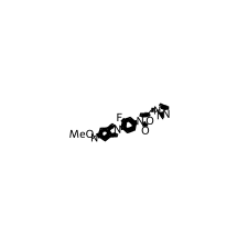 CON=C1C=C2CN(c3ccc(N4C[C@H](Cn5ccnn5)OC4=O)cc3F)CC2C1